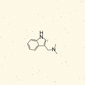 CN(C)Cc1[c][nH]c2ccccc12